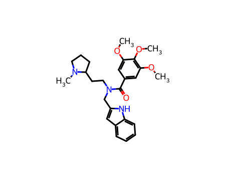 COc1cc(C(=O)N(CCC2CCCN2C)Cc2cc3ccccc3[nH]2)cc(OC)c1OC